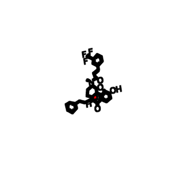 CN(C(=O)/C=C/c1cccc(C(F)(F)F)c1)C1CC[C@@]2(O)[C@H]3C(=O)c4ccc(O)c5c4[C@@]2(CCN3CCc2ccccc2)C1O5